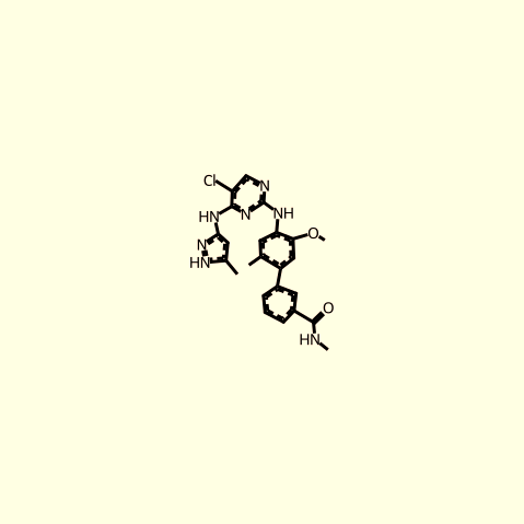 CNC(=O)c1cccc(-c2cc(OC)c(Nc3ncc(Cl)c(Nc4cc(C)[nH]n4)n3)cc2C)c1